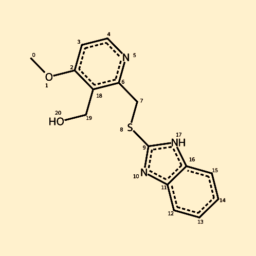 COc1ccnc(CSc2nc3ccccc3[nH]2)c1CO